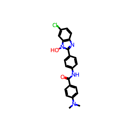 CN(C)c1ccc(C(=O)Nc2ccc(-c3nc4ccc(Cl)cc4n3O)cc2)cc1